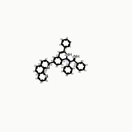 N=C(/C(=C1\NC(c2ccccc2)=Cc2cc(-c3ccc4ccc5cccnc5c4n3)ccc21)c1ccccc1)c1ccccc1